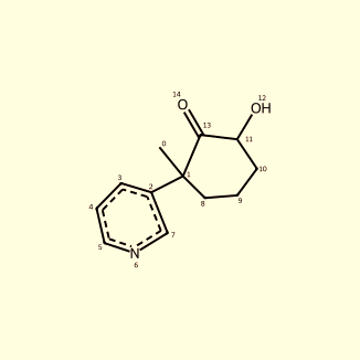 CC1(c2cccnc2)CCCC(O)C1=O